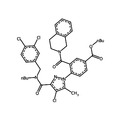 CCCCOC(=O)c1ccc(-n2nc(C(=O)N(CCCC)Cc3ccc(Cl)c(Cl)c3)c(Cl)c2C)c(C(=O)N2CCc3ccccc3C2)c1